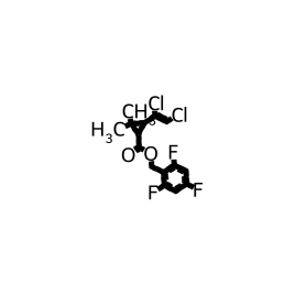 CC1(C)C(C(=O)OCc2c(F)cc(F)cc2F)C1C(Cl)=CCl